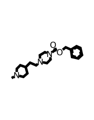 CN1CCC(CCN2CCN(C(=O)OCc3ccccc3)CC2)CC1